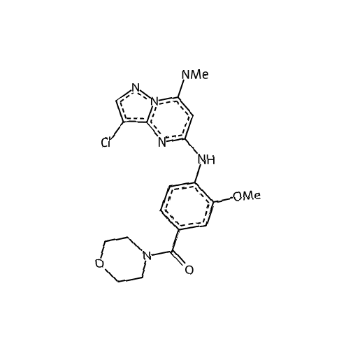 CNc1cc(Nc2ccc(C(=O)N3CCOCC3)cc2OC)nc2c(Cl)cnn12